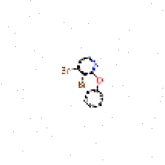 Brc1ccnc(Oc2ccccc2)c1Br